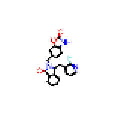 O=C1c2ccccc2C(Cc2cccnc2F)N1Cc1ccc2[nH]c(=O)oc2c1